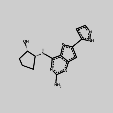 Nc1nc(N[C@@H]2CCC[C@@H]2O)c2sc(-c3ccn[nH]3)cc2n1